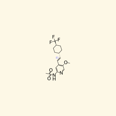 COc1cnc(NS(C)(=O)=O)cc1/C=C/[C@H]1CC[C@H](C(F)(F)F)CC1